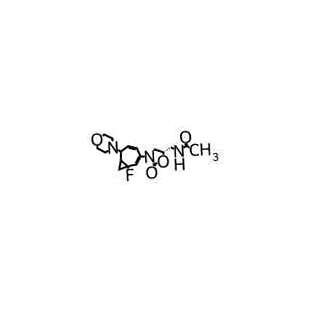 CC(=O)NC[C@H]1CN(C2=CC3(F)CC3C(N3CCOCC3)C=C2)C(=O)O1